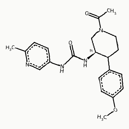 COc1ccc(C2CCN(C(C)=O)C[C@@H]2NC(=O)Nc2ccc(C)nc2)cc1